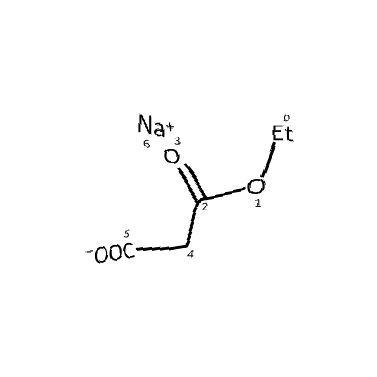 CCOC(=O)CC(=O)[O-].[Na+]